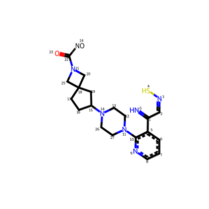 N=C(/C=N\S)c1cccnc1N1CCN(C2CCC3(C2)CN(C(=O)N=O)C3)CC1